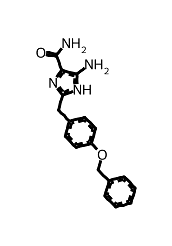 NC(=O)c1nc(Cc2ccc(OCc3ccccc3)cc2)[nH]c1N